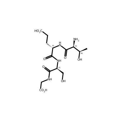 C[C@@H](O)[C@H](N)C(=O)N[C@@H](CCC(=O)O)C(=O)N[C@@H](CO)C(=O)NCC(=O)O